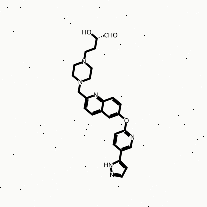 O=C[C@@H](O)CCN1CCN(Cc2ccc3cc(Oc4ccc(-c5ccn[nH]5)cn4)ccc3n2)CC1